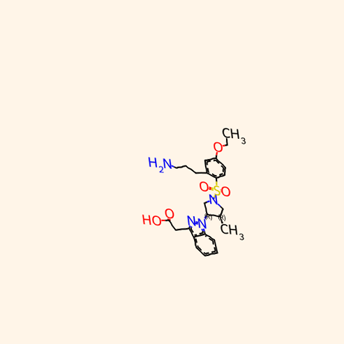 CCOc1ccc(S(=O)(=O)N2C[C@@H](C)[C@@H](n3nc(CC(=O)O)c4ccccc43)C2)c(CCCN)c1